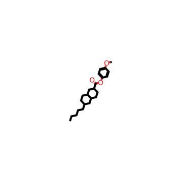 CCCCCC1CCC2CC(C(=O)Oc3ccc(OC)cc3)CCC2C1